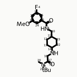 COc1cc(F)cc(C(=O)NCC2CCC(NCC(=O)N(C)C(C)(C)C)CC2)c1